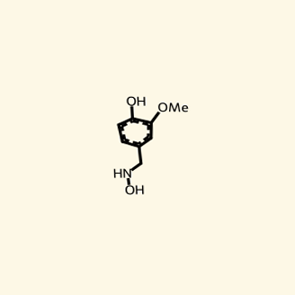 COc1cc(CNO)ccc1O